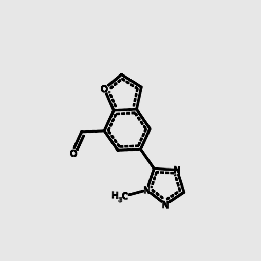 Cn1ncnc1-c1cc(C=O)c2occc2c1